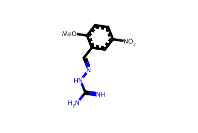 COc1ccc([N+](=O)[O-])cc1/C=N/NC(=N)N